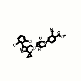 COC(=O)c1ccc(N2C[C@@H]3C[C@H]2C[C@H]3OCc2c(-c3c(Cl)cccc3Cl)noc2C2(F)CC2)cc1C#N